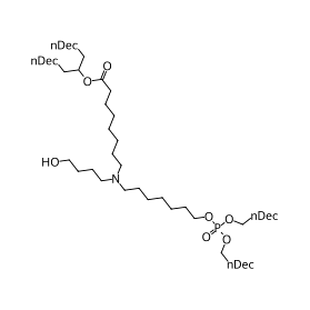 CCCCCCCCCCCOP(=O)(OCCCCCCCCCCC)OCCCCCCCN(CCCCO)CCCCCCCC(=O)OC(CCCCCCCCCCC)CCCCCCCCCCC